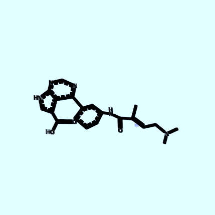 C/C(=C\CN(C)C)C(=O)Nc1cccc(-c2ncnc3[nH]cc(C(=O)O)c23)c1